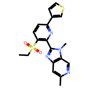 CCS(=O)(=O)c1ccc(-c2ccsc2)nc1-c1nc2cc(C)ncc2n1C